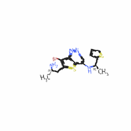 C[C@H](N)Cc1sc2c(N[C@H](C)c3cccs3)cnnc2c1Br